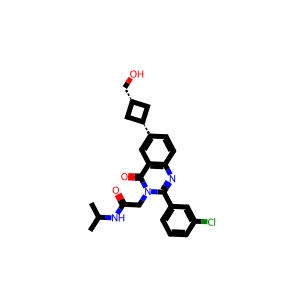 CC(C)NC(=O)Cn1c(-c2cccc(Cl)c2)nc2ccc([C@H]3C[C@@H](CO)C3)cc2c1=O